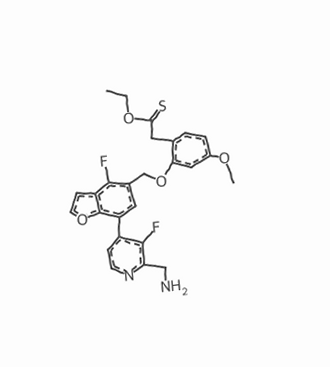 CCOC(=S)Cc1ccc(OC)cc1OCc1cc(-c2ccnc(CN)c2F)c2occc2c1F